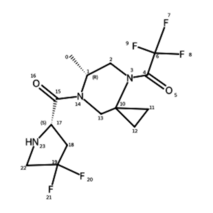 C[C@@H]1CN(C(=O)C(F)(F)F)C2(CC2)CN1C(=O)[C@@H]1CC(F)(F)CN1